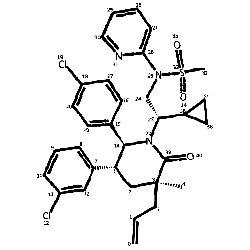 C=CC[C@@]1(C)C[C@H](c2cccc(Cl)c2)[C@@H](c2ccc(Cl)cc2)N([C@H](CN(c2ccccn2)S(C)(=O)=O)C2CC2)C1=O